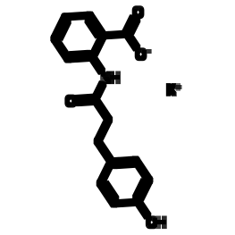 O=C(CCc1ccc(O)cc1)Nc1ccccc1C(=O)[O-].[K+]